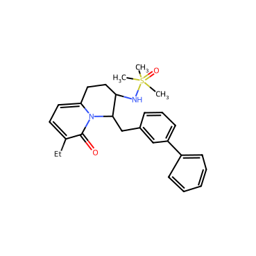 CCc1ccc2n(c1=O)C(Cc1cccc(-c3ccccc3)c1)C(NS(C)(C)(C)=O)CC2